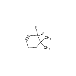 CC1(C)CCC#CC1(F)F